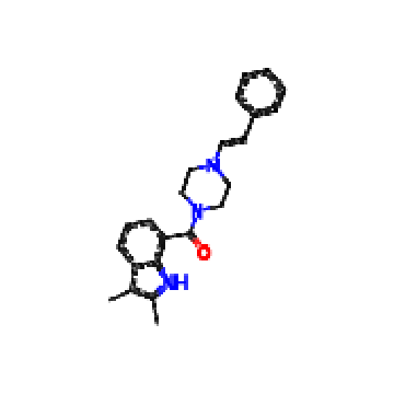 Cc1[nH]c2c(C(=O)N3CCN(C=Cc4ccccc4)CC3)cccc2c1C